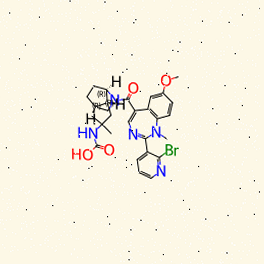 COc1ccc2c(c1)C(C(=O)N1C[C@@H]3CC[C@@H]1[C@@H]3CC(C)(C)NC(=O)O)=CN=C(c1cccnc1Br)N2C